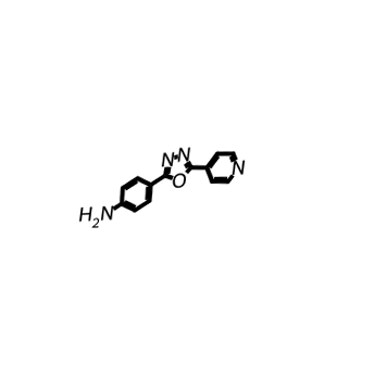 Nc1ccc(-c2nnc(-c3ccncc3)o2)cc1